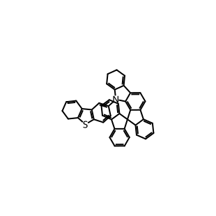 C1=Cc2c(sc3ccc(-n4c5c(c6ccc7c(c64)C4(c6ccccc6-c6ccccc64)c4ccccc4-7)=CCCC=5)cc23)CC1